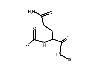 CCNC(=O)C(CCC(N)=O)NC(=O)CC